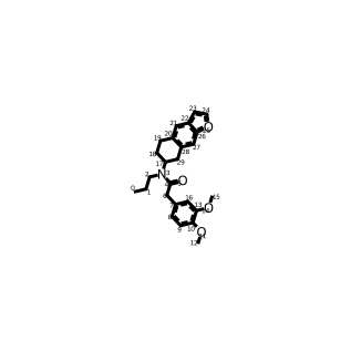 CCCN(C(=O)Cc1ccc(OC)c(OC)c1)C1CCc2cc3ccoc3cc2C1